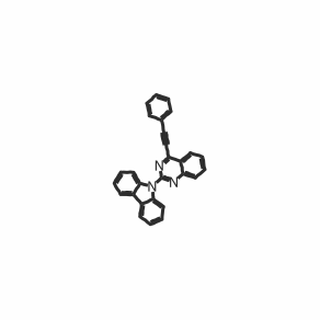 C(#Cc1nc(-n2c3ccccc3c3ccccc32)nc2ccccc12)c1ccccc1